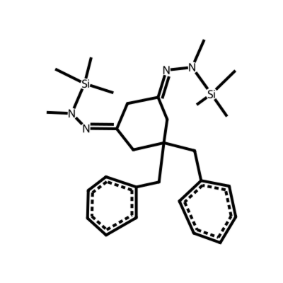 CN(N=C1CC(=NN(C)[Si](C)(C)C)CC(Cc2ccccc2)(Cc2ccccc2)C1)[Si](C)(C)C